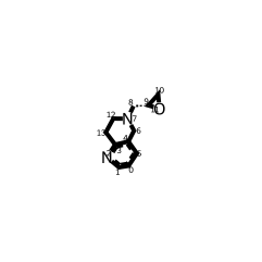 c1cnc2c(c1)CN(C[C@@H]1CO1)CC2